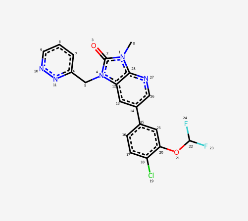 Cn1c(=O)n(Cc2cccnn2)c2cc(-c3ccc(Cl)c(OC(F)F)c3)cnc21